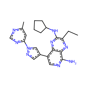 CCc1nc2c(N)ncc(-c3cnn(-c4cc(C)ncn4)c3)c2nc1NC1CCCC1